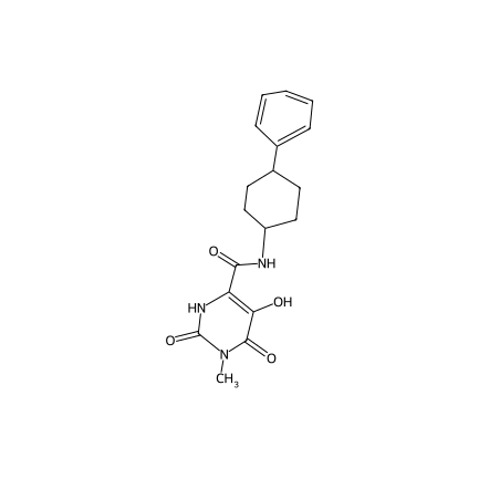 Cn1c(=O)[nH]c(C(=O)NC2CCC(c3ccccc3)CC2)c(O)c1=O